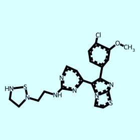 COc1cc(-c2nc3sccn3c2-c2ccnc(NCCN3CCNS3)n2)ccc1Cl